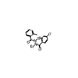 CCN(C(=O)c1ccc(Cl)cc1)N(C(=O)c1ccccc1C)C(C)(C)C